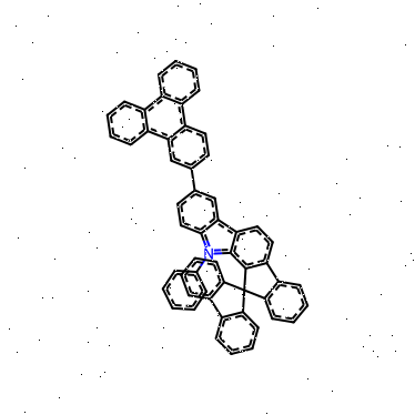 c1ccc(-n2c3ccc(-c4ccc5c6ccccc6c6ccccc6c5c4)cc3c3ccc4c(c32)C2(c3ccccc3-c3ccccc32)c2ccccc2-4)cc1